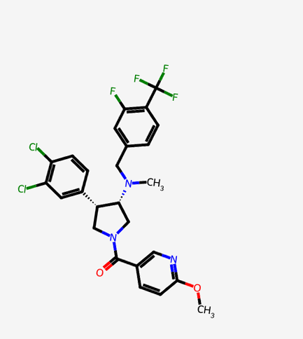 COc1ccc(C(=O)N2C[C@H](c3ccc(Cl)c(Cl)c3)[C@H](N(C)Cc3ccc(C(F)(F)F)c(F)c3)C2)cn1